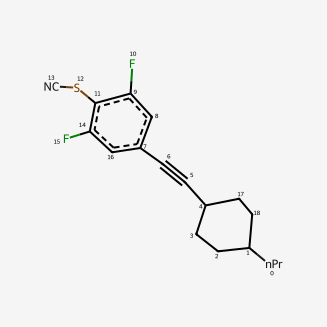 CCCC1CCC(C#Cc2cc(F)c(SC#N)c(F)c2)CC1